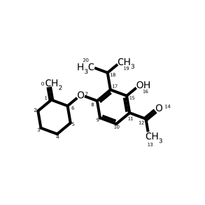 C=C1CCCCC1Oc1ccc(C(C)=O)c(O)c1C(C)C